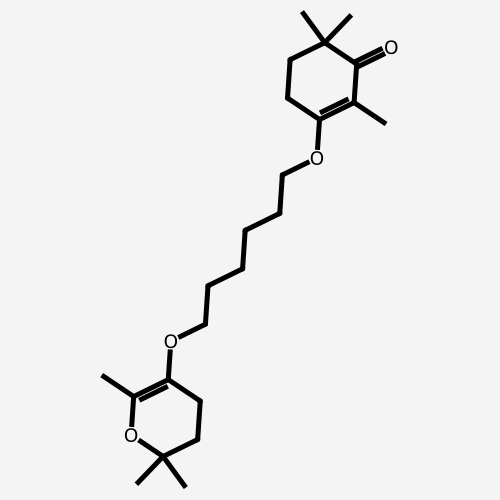 CC1=C(OCCCCCCOC2=C(C)C(=O)C(C)(C)CC2)CCC(C)(C)O1